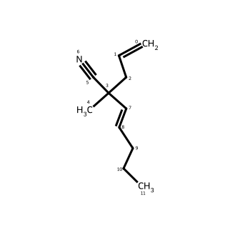 C=CCC(C)(C#N)/C=C/CCC